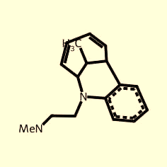 CNCCN1c2ccccc2C2C=CC=CC1C2C